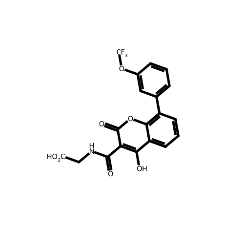 O=C(O)CNC(=O)c1c(O)c2cccc(-c3cccc(OC(F)(F)F)c3)c2oc1=O